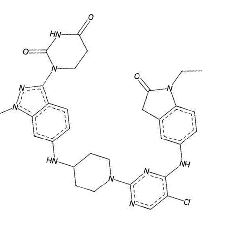 CCN1C(=O)Cc2cc(Nc3nc(N4CCC(Nc5ccc6c(N7CCC(=O)NC7=O)nn(C)c6c5)CC4)ncc3Cl)ccc21